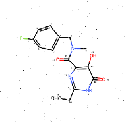 CN(Cc1ccc(F)cc1)C(=O)c1nc(CC=O)[nH]c(=O)c1O